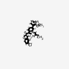 CC[C@H](N)Cn1cc(C(=O)C2COc3ccc(Cl)cc3C2)c2ccc(-c3cn[nH]c3OC)cc21